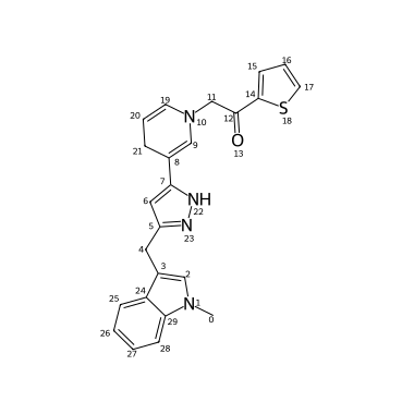 Cn1cc(Cc2cc(C3=CN(CC(=O)c4cccs4)C=CC3)[nH]n2)c2ccccc21